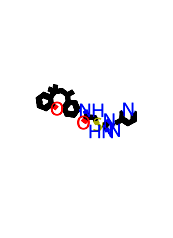 CC1CC(C)(C)c2ccccc2Oc2ccc(NC(=O)CSc3nc(-c4cccnc4)n[nH]3)cc21